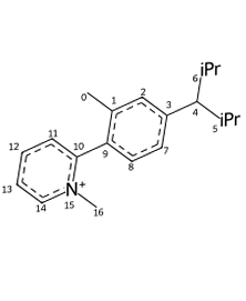 Cc1cc(C(C(C)C)C(C)C)ccc1-c1cccc[n+]1C